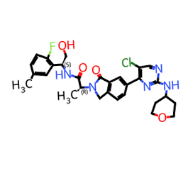 Cc1ccc(F)c([C@@H](CO)NC(=O)[C@@H](C)N2Cc3ccc(-c4nc(NC5CCOCC5)ncc4Cl)cc3C2=O)c1